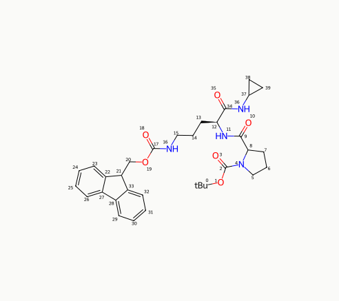 CC(C)(C)OC(=O)N1CCCC1C(=O)N[C@@H](CCCNC(=O)OCC1c2ccccc2-c2ccccc21)C(=O)NC1CC1